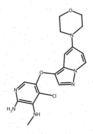 CNc1c(N)ncc(Oc2cnn3ccc(N4CCOCC4)cc23)c1Cl